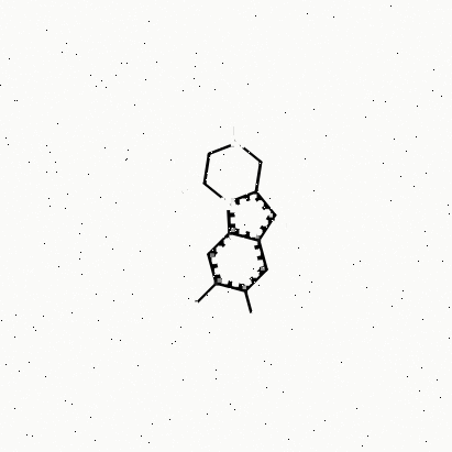 C[C@@H]1CNCc2cc3cc(Cl)c(Cl)cc3n21.Cl